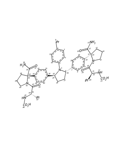 CC(C)c1ccc(N2[C@H](c3ccc([C@]4(C(N)=O)CCCN4C(=O)[C@@H](NC(=O)O)C(C)C)cc3)CC[C@H]2c2ccc([C@]3(C(N)=O)CCCN3C(=O)[C@@H](NC(=O)O)C(C)C)cc2)cc1